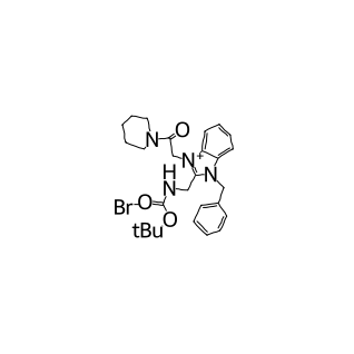 CC(C)(C)OC(=O)NCc1n(Cc2ccccc2)c2ccccc2[n+]1CC(=O)N1CCCCC1.[Br-]